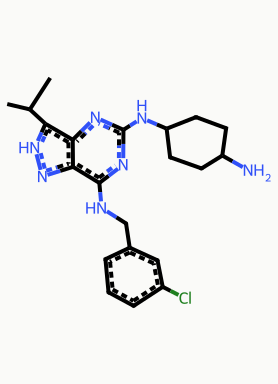 CC(C)c1[nH]nc2c(NCc3cccc(Cl)c3)nc(NC3CCC(N)CC3)nc12